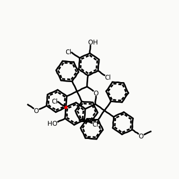 COc1ccc(C(c2ccccc2)(c2ccccc2)C(OC(c2cc(Cl)c(O)cc2Cl)C(c2ccccc2)(c2ccccc2)c2ccc(OC)cc2)c2cc(Cl)c(O)cc2Cl)cc1